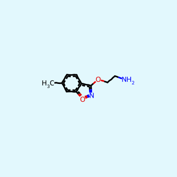 Cc1ccc2c(OCCN)noc2c1